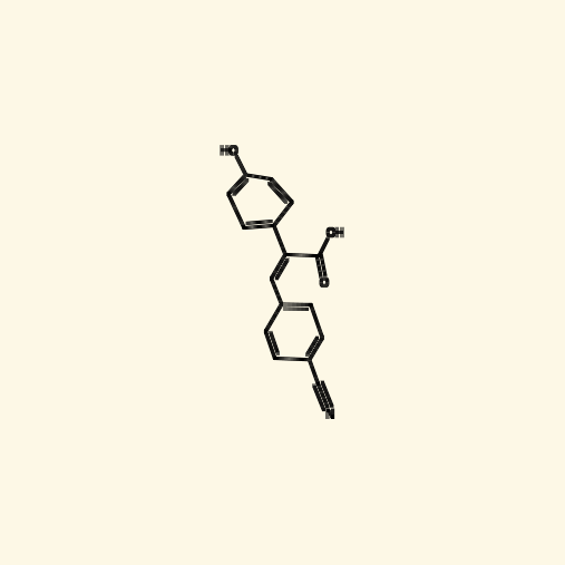 N#Cc1ccc(C=C(C(=O)O)c2ccc(O)cc2)cc1